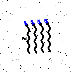 CCCCCCCC#N.CCCCCCCC#N.CCCCCCCC#N.CCCCCCCC#N.[Pd]